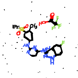 Cc1ccc(Nc2nccc(Nc3n[nH]c4ccc(F)cc34)n2)cc1S(=O)(=O)C(C)C.O=C(O)C(F)(F)F